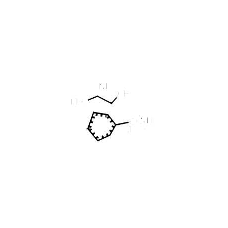 CCCC.Cc1ccccc1.N.N